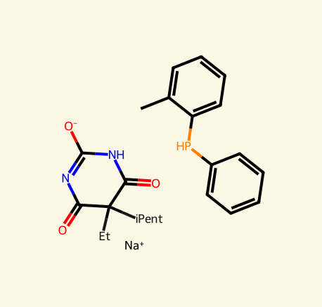 CCCC(C)C1(CC)C(=O)N=C([O-])NC1=O.Cc1ccccc1Pc1ccccc1.[Na+]